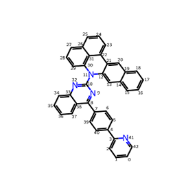 c1ccc(-c2ccc(-c3nc(N4c5cc6ccccc6cc5-c5cccc6cccc4c56)nc4ccccc34)cc2)nc1